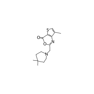 Cc1csc2c(=O)oc(CN3CCC(C)(C)CC3)nc12